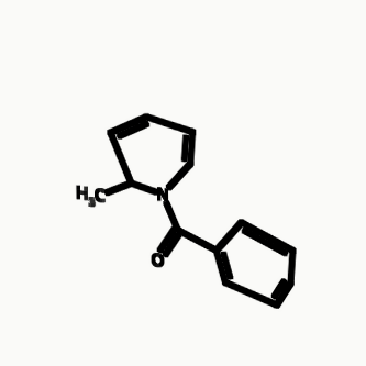 CC1C=CC=CN1C(=O)c1ccccc1